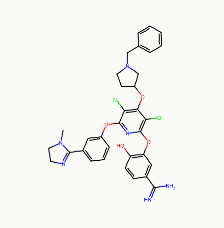 CN1CCN=C1c1cccc(Oc2nc(Oc3cc(C(=N)N)ccc3O)c(Cl)c(OC3CCN(Cc4ccccc4)C3)c2Cl)c1